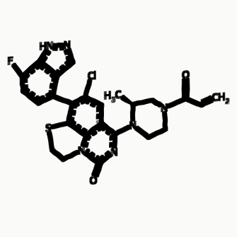 C=CC(=O)N1CCN(c2nc(=O)n3c4c(c(-c5ccc(F)c6[nH]ncc56)c(Cl)cc24)SCC3)[C@@H](C)C1